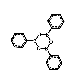 c1ccc(B2OB(c3ccccc3)OB(c3ccccc3)O2)cc1